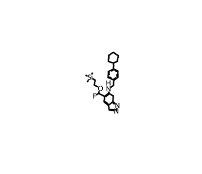 C[Si](C)(C)CCOC(F)C1=C(NCc2ccc(C3CCCCC3)cc2)CC2=NN=CC2=C1